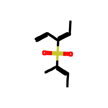 C=C/C(=C\C)S(=O)(=O)/C(C)=C/C